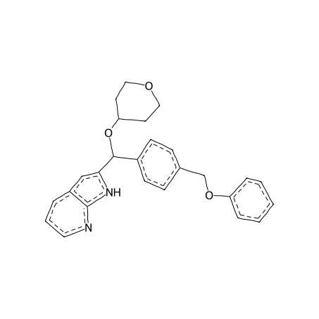 c1ccc(OCc2ccc(C(OC3CCOCC3)c3cc4cccnc4[nH]3)cc2)cc1